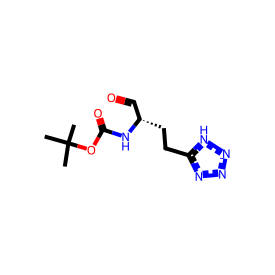 CC(C)(C)OC(=O)N[C@H](C=O)CCc1nnn[nH]1